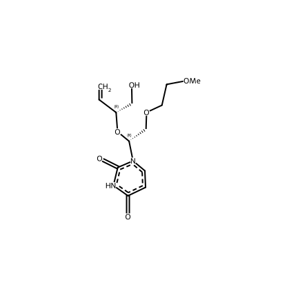 C=C[C@H](CO)O[C@H](COCCOC)n1ccc(=O)[nH]c1=O